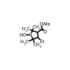 CCC1C(C(=O)OC)C(C)(C)N(O)C1(C)C